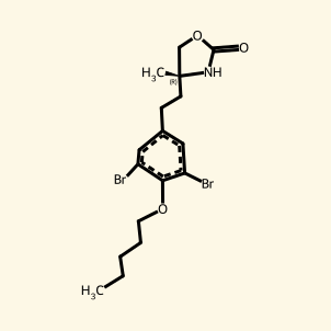 CCCCCOc1c(Br)cc(CC[C@]2(C)COC(=O)N2)cc1Br